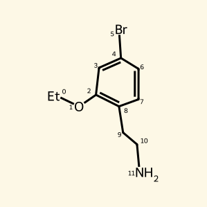 CCOc1cc(Br)ccc1CCN